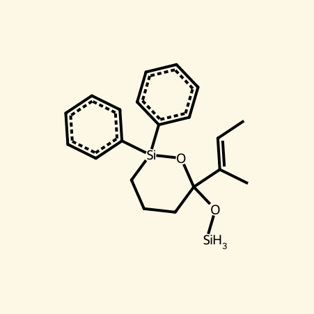 CC=C(C)C1(O[SiH3])CCC[Si](c2ccccc2)(c2ccccc2)O1